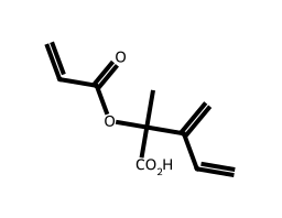 C=CC(=C)C(C)(OC(=O)C=C)C(=O)O